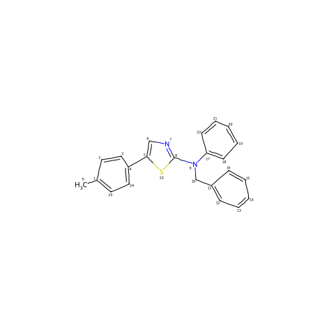 Cc1ccc(-c2cnc(N(Cc3ccccc3)c3ccccc3)s2)cc1